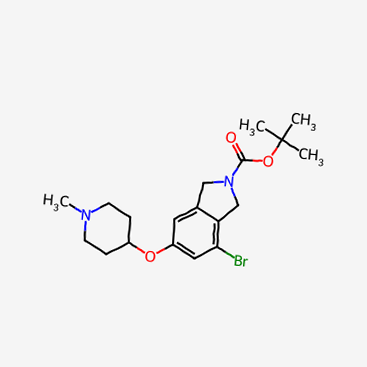 CN1CCC(Oc2cc(Br)c3c(c2)CN(C(=O)OC(C)(C)C)C3)CC1